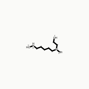 CC(C)N(CCO)CCCCCNO